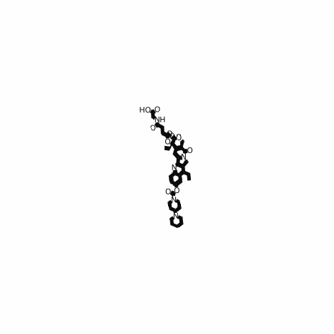 CCc1c2c(nc3ccc(OC(=O)N4CCC(N5CCCCC5)CC4)cc13)-c1cc3c(c(=O)n1C2)COC(=O)[C@@]3(CC)OC(=O)CCC(=O)NCC(=O)O